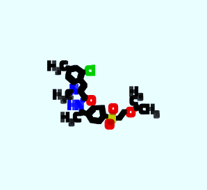 Cc1cc(Cl)c2cc(C(=O)N[C@H](C)c3ccc(S(=O)(=O)CCOC(C)C)cc3)n(C)c2c1